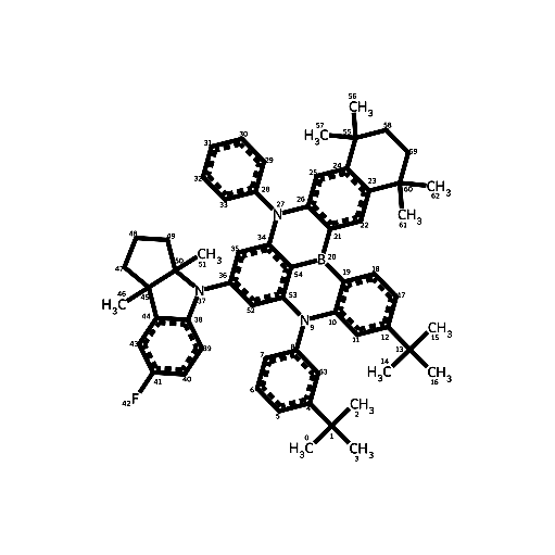 CC(C)(C)c1cccc(N2c3cc(C(C)(C)C)ccc3B3c4cc5c(cc4N(c4ccccc4)c4cc(N6c7ccc(F)cc7C7(C)CCCC67C)cc2c43)C(C)(C)CCC5(C)C)c1